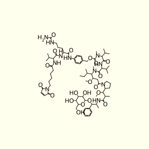 CCC(C)C(C(CC(=O)N1CCCC1C(OC)C(C)C(=O)NC(C)C(OC1OC(CO)C(O)C(O)C1O)c1ccccc1)OC)N(C)C(=O)C(NC(=O)C(C(C)C)N(C)C(=O)OCc1ccc(NC(=O)C(CCCNC(N)=O)NC(=O)C(NC(=O)CCCCCN2C(=O)C=CC2=O)C(C)C)cc1)C(C)C